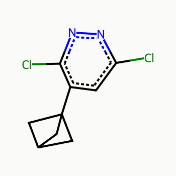 Clc1cc(C23CC(C2)C3)c(Cl)nn1